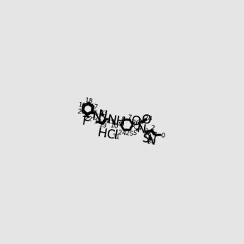 Cc1cc(N2C[C@]3(CC[C@@H](CNc4ccn(-c5ccccc5F)n4)CC3)OC2=O)sn1.Cl